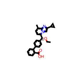 CCO[C@H](c1ccc(-c2ccccc2C(=O)O)cc1)c1ccc(C)c2nc(C3CC3)cn12